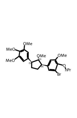 CCCOc1c(Br)cc([C@H]2CC[C@@H](c3cc(OC)c(OC)c(OC)c3)[C@@H]2OC)cc1OC